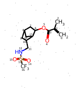 C=C(C)C(=O)OC1CC2CC(CNS(=O)(=O)C(F)(F)F)C1C2